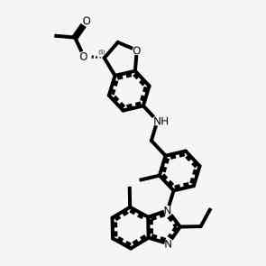 CCc1nc2cccc(C)c2n1-c1cccc(CNc2ccc3c(c2)OC[C@H]3OC(C)=O)c1C